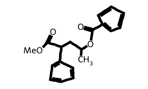 COC(=O)C(CC(C)OC(=O)c1ccccc1)c1ccccc1